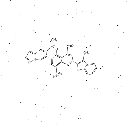 Cc1c(-c2cc(C(=O)[O-])c3c(O[C@@H](C)c4ccn5nccc5c4)ccc(C)c3n2)oc2ccccc12.[Na+]